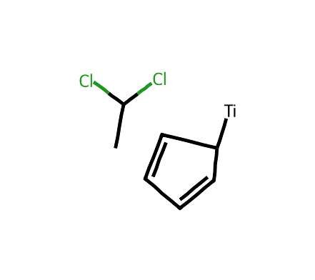 CC(Cl)Cl.[Ti][CH]1C=CC=C1